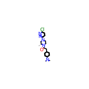 C[C@@H]1CN(c2ccc(Cl)nn2)CCN1C(=O)Cc1ccc(N(C)C)cc1